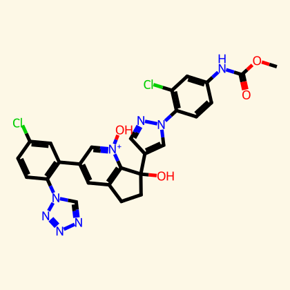 COC(=O)Nc1ccc(-n2cc(C3(O)CCc4cc(-c5cc(Cl)ccc5-n5cnnn5)c[n+](O)c43)cn2)c(Cl)c1